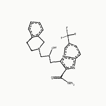 NC(=O)c1nc2ccc(C(F)(F)F)cn2c1CC(O)CN1CCc2ccccc2C1